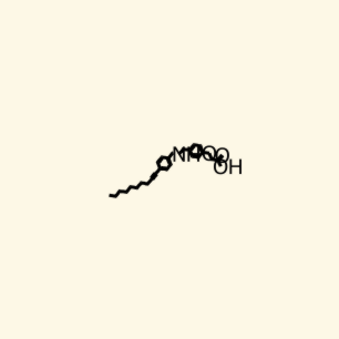 CCCCCCCCC#Cc1ccc(CNCc2ccc(OCC(=O)O)cc2)cc1